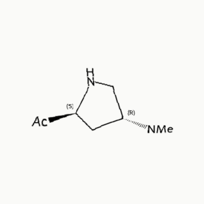 CN[C@H]1CN[C@H](C(C)=O)C1